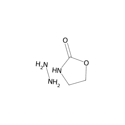 NN.O=C1NCCO1